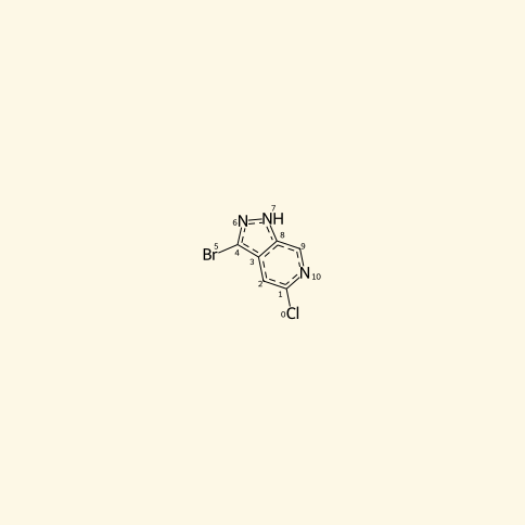 Clc1cc2c(Br)n[nH]c2cn1